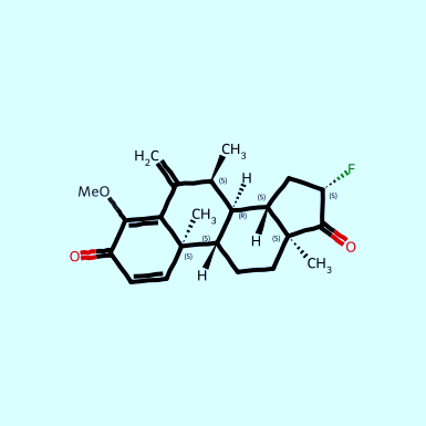 C=C1C2=C(OC)C(=O)C=C[C@]2(C)[C@H]2CC[C@]3(C)C(=O)[C@@H](F)C[C@H]3[C@@H]2[C@@H]1C